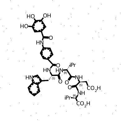 CC(C)[C@@H](NC(=O)[C@H](CC(=O)O)NC(=O)[C@H](NC(=O)[C@H](Cc1c[nH]c2ccccc12)NC(=O)c1ccc(NC(=O)c2cc(O)c(O)c(O)c2)cc1)C(C)C)C(=O)O